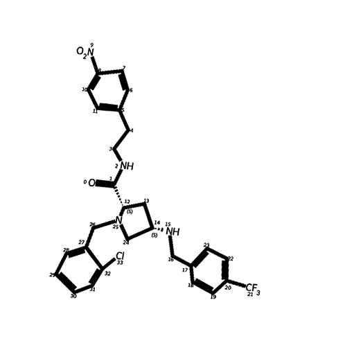 O=C(NCCc1ccc([N+](=O)[O-])cc1)[C@@H]1C[C@H](NCc2ccc(C(F)(F)F)cc2)CN1Cc1ccccc1Cl